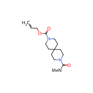 C=CCOC(=O)N1CCC2(CCN(C(=O)NC)CC2)CC1